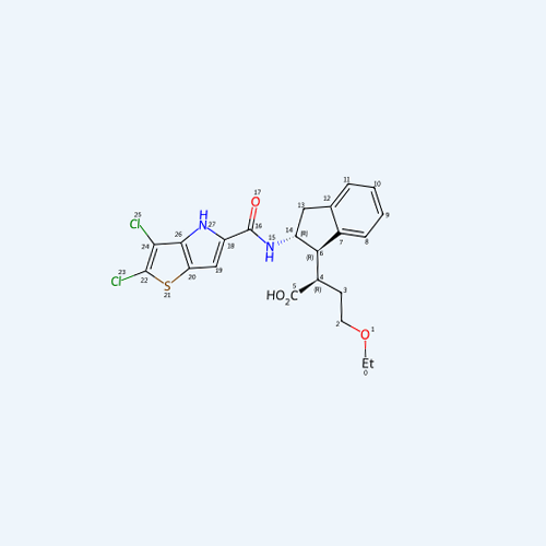 CCOCC[C@@H](C(=O)O)[C@@H]1c2ccccc2C[C@H]1NC(=O)c1cc2sc(Cl)c(Cl)c2[nH]1